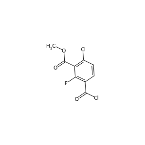 COC(=O)c1c(Cl)ccc(C(=O)Cl)c1F